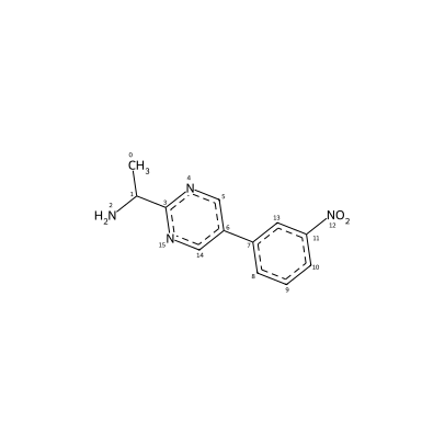 CC(N)c1ncc(-c2cccc([N+](=O)[O-])c2)cn1